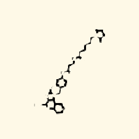 CCCCc1nc2c(N)nc3ccccc3c2n1Cc1ccc(NC(=O)CCNC(=O)CCCCCN2C(=O)C=CC2=O)cc1